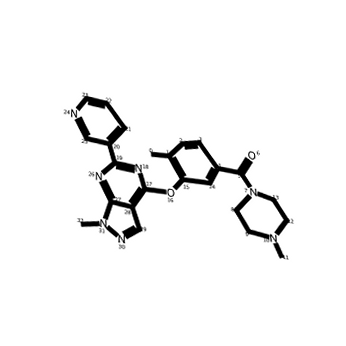 Cc1ccc(C(=O)N2CCN(C)CC2)cc1Oc1nc(-c2cccnc2)nc2c1cnn2C